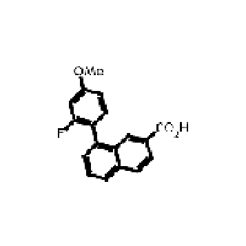 COc1ccc(-c2cccc3ccc(C(=O)O)cc23)c(F)c1